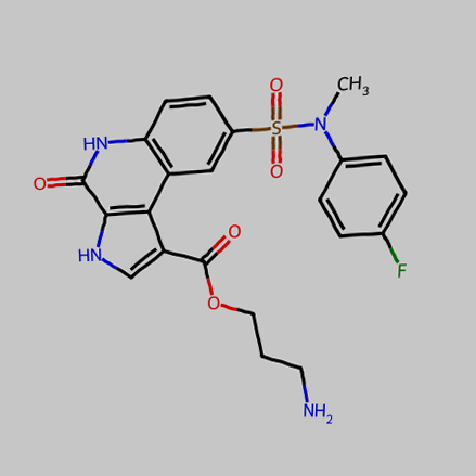 CN(c1ccc(F)cc1)S(=O)(=O)c1ccc2[nH]c(=O)c3[nH]cc(C(=O)OCCCN)c3c2c1